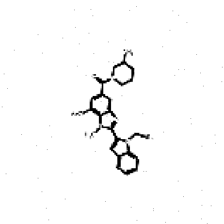 COc1cc(C(=O)N2CCCC(N)C2)cc2nc(-c3cc4cccnc4n3CC(C)(C)C)n(C)c12